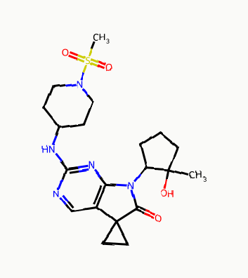 CC1(O)CCCC1N1C(=O)C2(CC2)c2cnc(NC3CCN(S(C)(=O)=O)CC3)nc21